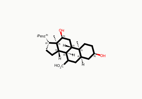 CCC[C@@H](C)[C@H]1CC[C@H]2[C@@H]3C(C(=O)O)C[C@@H]4C[C@H](O)CC[C@]4(C)[C@H]3C[C@H](O)[C@]12C